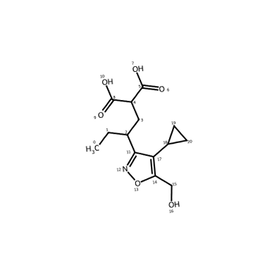 CCC(CC(C(=O)O)C(=O)O)c1noc(CO)c1C1CC1